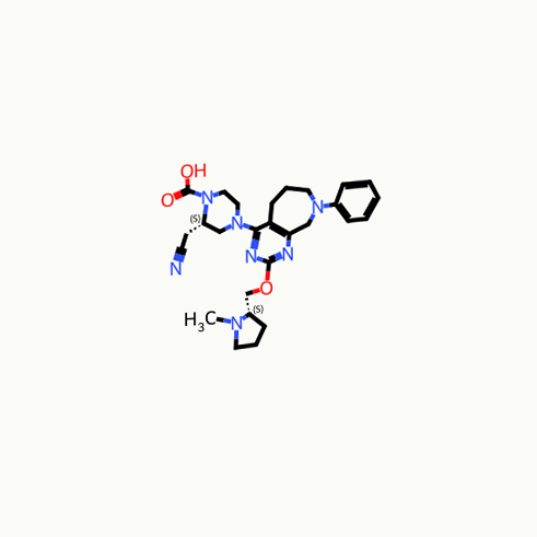 CN1CCC[C@H]1COc1nc2c(c(N3CCN(C(=O)O)[C@@H](CC#N)C3)n1)CCCN(c1ccccc1)C2